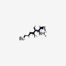 CCC(C)CCCC(F)/C(C)=C(N)/C=N\C